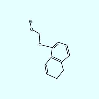 CCOCOc1cccc2c1C=CCC2